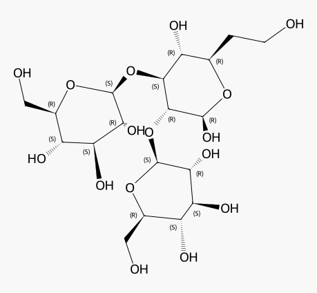 OCC[C@H]1O[C@@H](O)[C@H](O[C@@H]2O[C@H](CO)[C@@H](O)[C@H](O)[C@H]2O)[C@@H](O[C@@H]2O[C@H](CO)[C@@H](O)[C@H](O)[C@H]2O)[C@@H]1O